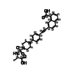 CC(NS(=O)(=O)N1CCN(c2ccc(C#Cc3ccc4cccc(C(=O)O)c4c3)cc2)CC1)C(=O)O